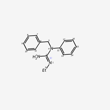 CC/N=C(\N)N(Cc1ccccc1)c1ccccc1